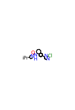 CC(C)C1CCN(C(=O)NC2CCCCc3cc(-c4ccnc(Cl)n4)ccc32)C1